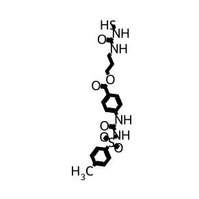 Cc1ccc(S(=O)(=O)NC(=O)Nc2ccc(C(=O)OCCCNC(=O)NS)cc2)cc1